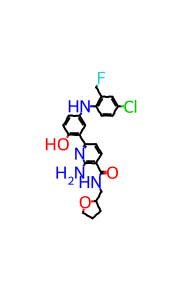 Nc1nc(-c2cc(Nc3ccc(Cl)cc3CF)ccc2O)ccc1C(=O)NCC1CCCO1